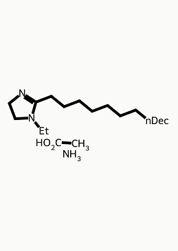 CC(=O)O.CCCCCCCCCCCCCCCCCC1=NCCN1CC.N